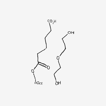 CCCCCCCCOC(=O)CCCCC(=O)O.OCCOCCO